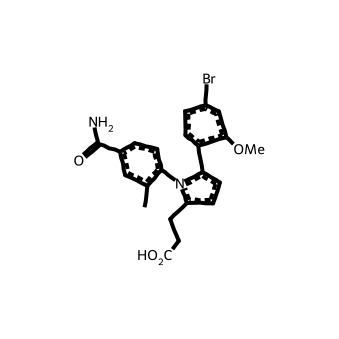 COc1cc(Br)ccc1-c1ccc(CCC(=O)O)n1-c1ccc(C(N)=O)cc1C